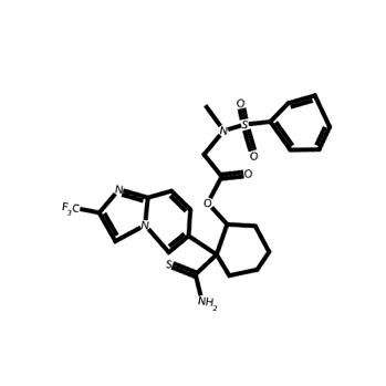 CN(CC(=O)OC1CCCCC1(C(N)=S)c1ccc2nc(C(F)(F)F)cn2c1)S(=O)(=O)c1ccccc1